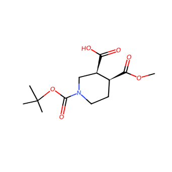 COC(=O)[C@H]1CCN(C(=O)OC(C)(C)C)C[C@H]1C(=O)O